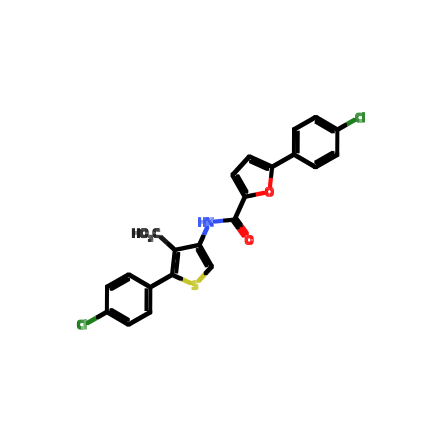 O=C(Nc1csc(-c2ccc(Cl)cc2)c1C(=O)O)c1ccc(-c2ccc(Cl)cc2)o1